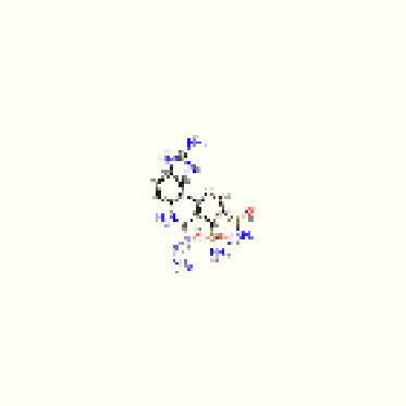 NN/N=C(\N)c1c(-c2cccc3[nH]c(N)nc23)ccc([S+](N)[O-])c1S(N)(=O)=O